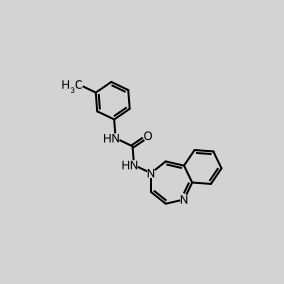 Cc1cccc(NC(=O)NN2C=CN=c3ccccc3=C2)c1